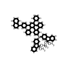 CC1(C)c2ccccc2-c2ccc(N(c3ccc4c(c3)C(C)(C)c3ccccc3-4)c3ccc4c(c3)c3ccccc3c3c(-c5ccccc5)cc(-c5ccc(-c6cccc7ccccc67)cc5)c(-c5ccccc5)c43)cc21